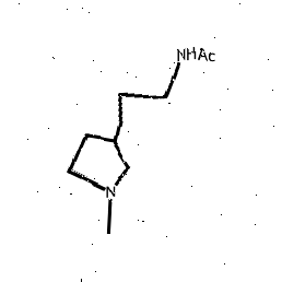 [CH2]C(=O)NCCC1CCN(C)C1